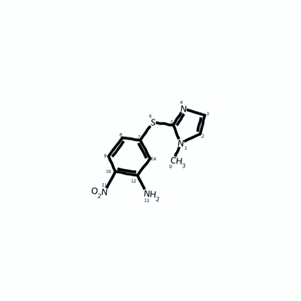 Cn1ccnc1Sc1ccc([N+](=O)[O-])c(N)c1